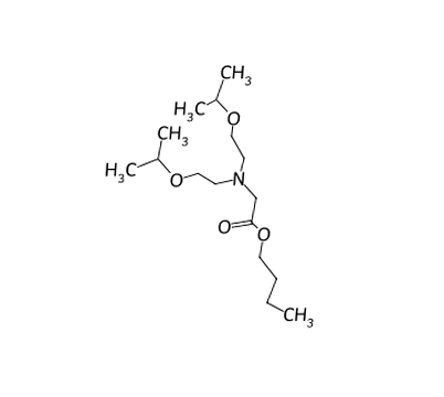 CCCCOC(=O)CN(CCOC(C)C)CCOC(C)C